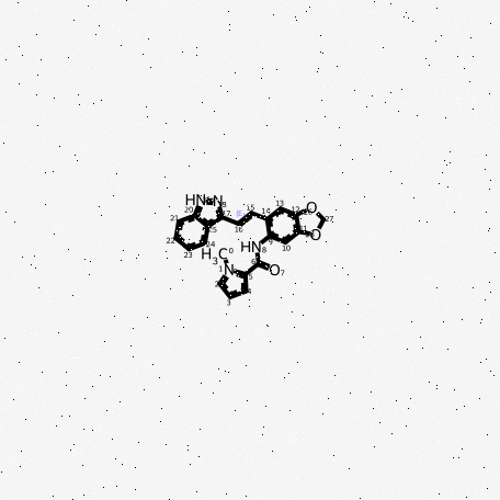 Cn1cccc1C(=O)Nc1cc2c(cc1/C=C/c1n[nH]c3ccccc13)OCO2